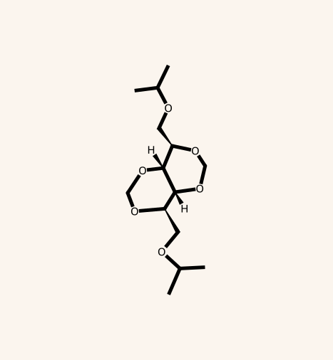 CC(C)OC[C@H]1OCO[C@H]2[C@@H]1OCO[C@@H]2COC(C)C